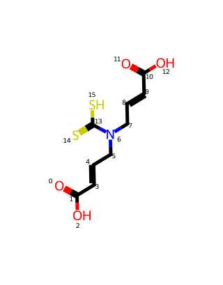 O=C(O)C=CCN(CC=CC(=O)O)C(=S)S